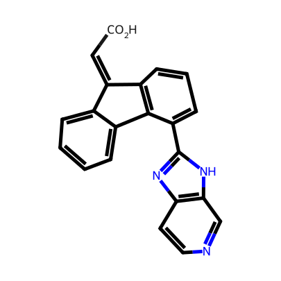 O=C(O)C=C1c2ccccc2-c2c1cccc2-c1nc2ccncc2[nH]1